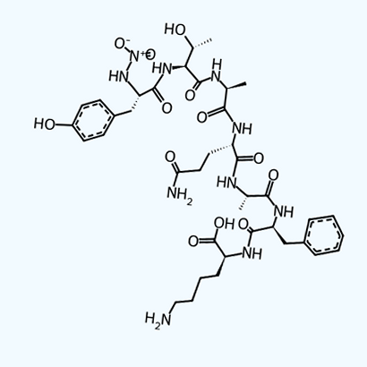 C[C@H](NC(=O)[C@H](CCC(N)=O)NC(=O)[C@H](C)NC(=O)[C@@H](NC(=O)[C@H](Cc1ccc(O)cc1)N[N+](=O)[O-])[C@@H](C)O)C(=O)N[C@@H](Cc1ccccc1)C(=O)N[C@@H](CCCCN)C(=O)O